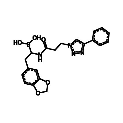 O=C(CCn1cc(-c2ccccc2)nn1)NC(Cc1ccc2c(c1)OCO2)B(O)O